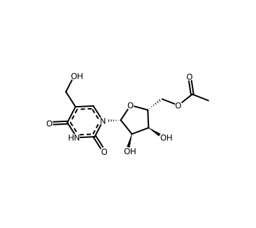 CC(=O)OC[C@H]1O[C@@H](n2cc(CO)c(=O)[nH]c2=O)[C@H](O)[C@@H]1O